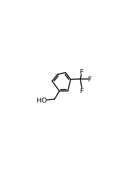 OCc1c[c]cc(C(F)(F)F)c1